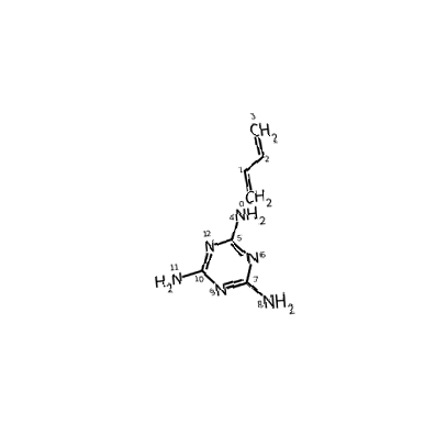 C=CC=C.Nc1nc(N)nc(N)n1